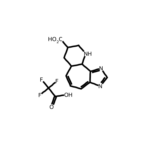 O=C(O)C(F)(F)F.O=C(O)C1CNC2C3=NC=NC3=CC=CC2C1